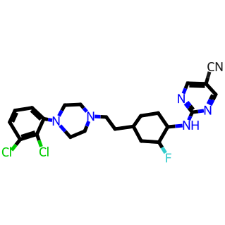 N#Cc1cnc(NC2CCC(CCN3CCN(c4cccc(Cl)c4Cl)CC3)CC2F)nc1